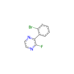 Fc1nccnc1-c1ccc[c]c1Br